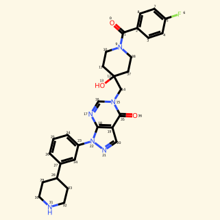 O=C(c1ccc(F)cc1)N1CCC(O)(Cn2cnc3c(cnn3-c3cccc(C4CCNCC4)c3)c2=O)CC1